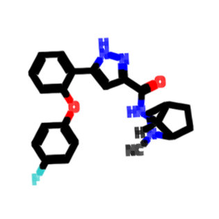 N#CN1CC2CCC1[C@@H]2NC(=O)c1cc(-c2ccccc2Oc2ccc(F)cc2)[nH]n1